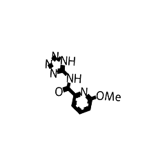 COc1cccc(C(=O)Nc2nnn[nH]2)n1